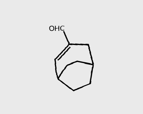 O=CC1=CC2CCC(CC2)C1